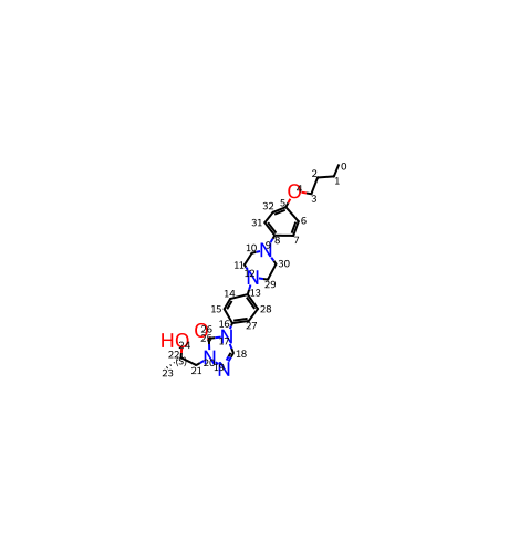 CCCCOc1ccc(N2CCN(c3ccc(-n4cnn(C[C@H](C)O)c4=O)cc3)CC2)cc1